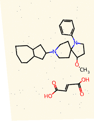 COC1CCN(c2ccccc2)C12CCN(C1CC3CCCCCC3C1)CC2.O=C(O)C=CC(=O)O